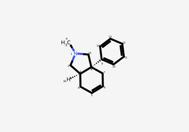 CN1C[C@@H]2CC=CC[C@]2(c2ccccc2)C1